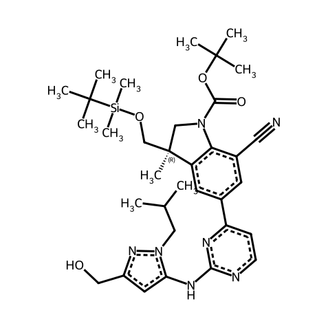 CC(C)Cn1nc(CO)cc1Nc1nccc(-c2cc(C#N)c3c(c2)[C@@](C)(CO[Si](C)(C)C(C)(C)C)CN3C(=O)OC(C)(C)C)n1